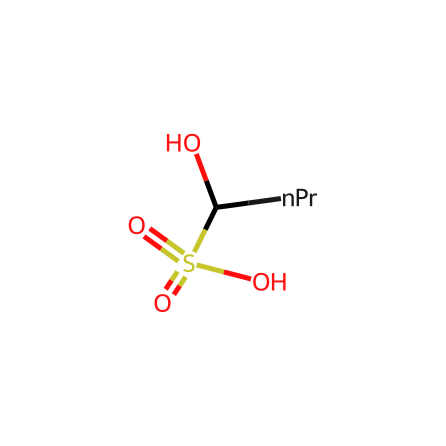 CCCC(O)S(=O)(=O)O